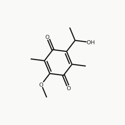 COC1=C(C)C(=O)C(C(C)O)=C(C)C1=O